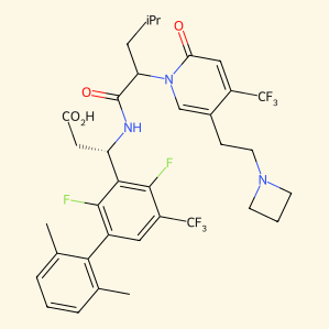 Cc1cccc(C)c1-c1cc(C(F)(F)F)c(F)c([C@H](CC(=O)O)NC(=O)C(CC(C)C)n2cc(CCN3CCC3)c(C(F)(F)F)cc2=O)c1F